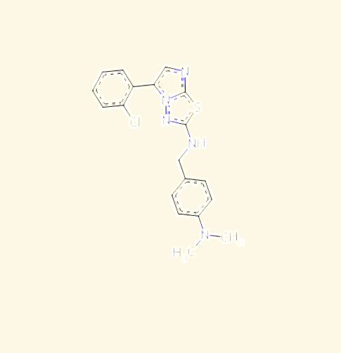 CN(C)c1ccc(CNc2nn3c(-c4ccccc4Cl)cnc3s2)cc1